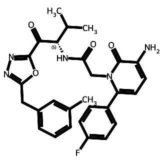 Cc1cccc(Cc2nnc(C(=O)[C@@H](NC(=O)Cn3c(-c4ccc(F)cc4)ccc(N)c3=O)C(C)C)o2)c1